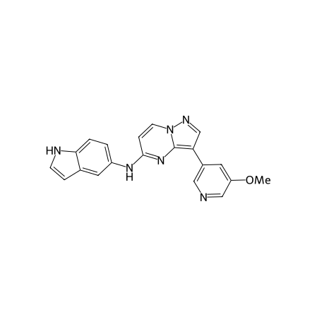 COc1cncc(-c2cnn3ccc(Nc4ccc5[nH]ccc5c4)nc23)c1